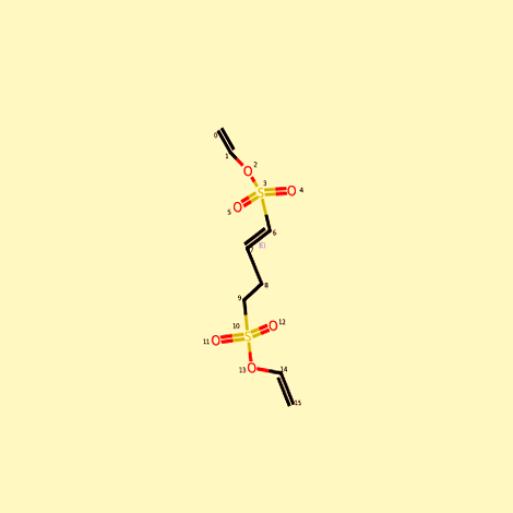 C=COS(=O)(=O)/C=C/CCS(=O)(=O)OC=C